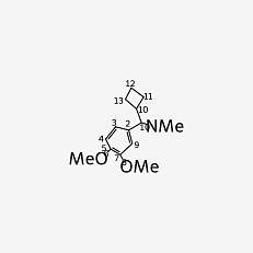 CNC(c1ccc(OC)c(OC)c1)C1CCC1